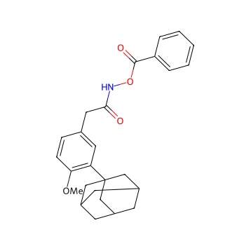 COc1ccc(CC(=O)NOC(=O)c2ccccc2)cc1C12CC3CC(CC(C3)C1)C2